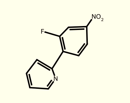 O=[N+]([O-])c1ccc(-c2ccccn2)c(F)c1